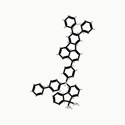 CC1(C)c2ccccc2-c2c(N(c3ccc(-c4ccccc4)cc3)c3ccc(-c4ccc5c6c(cccc46)-c4cc(-c6ccccc6)c(-c6ccccc6)cc4-5)cc3)cccc21